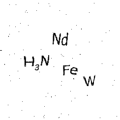 N.[Fe].[Nd].[W]